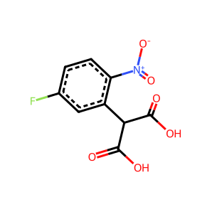 O=C(O)C(C(=O)O)c1cc(F)ccc1[N+](=O)[O-]